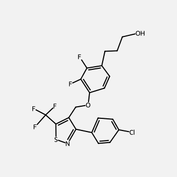 OCCCc1ccc(OCc2c(-c3ccc(Cl)cc3)nsc2C(F)(F)F)c(F)c1F